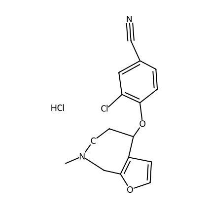 CN1CCC(Oc2ccc(C#N)cc2Cl)c2ccoc2C1.Cl